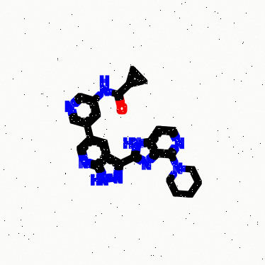 O=C(Nc1cncc(-c2cnc3[nH]nc(-c4nc5c(N6CCCCC6)nccc5[nH]4)c3c2)c1)C1CC1